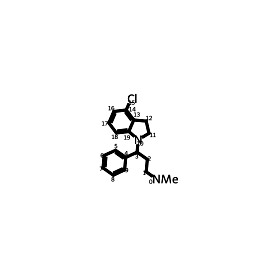 CNCCC(c1ccccc1)N1CCc2c(Cl)cccc21